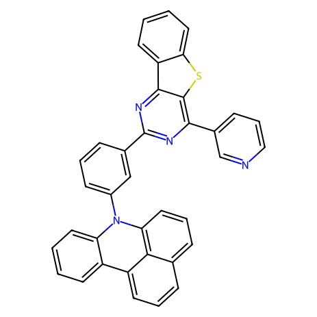 c1cncc(-c2nc(-c3cccc(N4c5ccccc5-c5cccc6cccc4c56)c3)nc3c2sc2ccccc23)c1